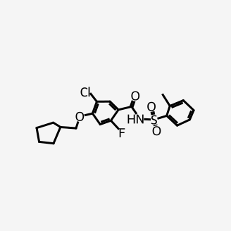 Cc1ccccc1S(=O)(=O)NC(=O)c1cc(Cl)c(OCC2CCCC2)cc1F